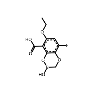 CCOc1cc(F)c2c(c1C(=O)O)OB(O)CO2